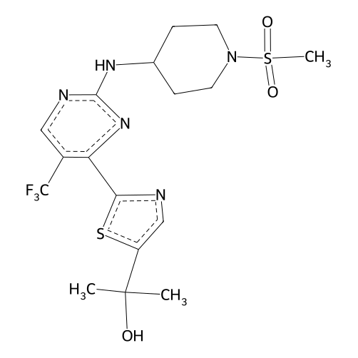 CC(C)(O)c1cnc(-c2nc(NC3CCN(S(C)(=O)=O)CC3)ncc2C(F)(F)F)s1